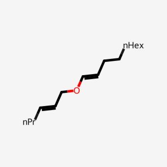 CCCC=CCOC=CCCCCCCCC